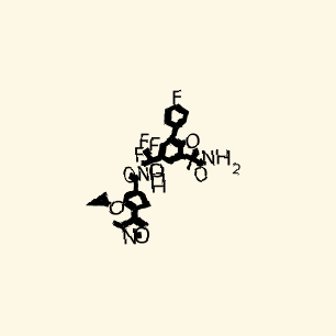 Cc1nocc1-c1ccc(C(=O)NCC(O)(c2cc(-c3ccc(F)cc3)c3c(c2)[C@@](C)(C(N)=O)CO3)C(F)(F)F)cc1OC1CC1